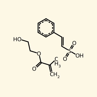 C=C(C)C(=O)OCCO.O=S(=O)(O)C=Cc1ccccc1